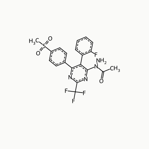 CC(=O)N(N)c1nc(C(F)(F)F)nc(-c2ccc(S(C)(=O)=O)cc2)c1-c1ccccc1F